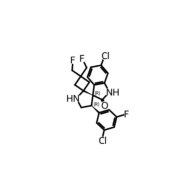 O=C1Nc2cc(Cl)ccc2[C@@]12[C@@H](c1cc(F)cc(Cl)c1)CNC21CC(CF)(CF)C1